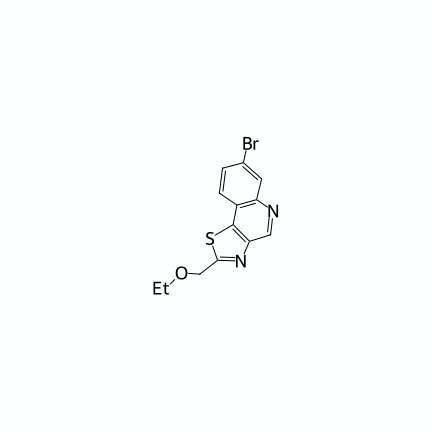 CCOCc1nc2cnc3cc(Br)ccc3c2s1